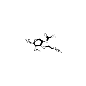 CC[C@H]1OC[C@H](OC(C)=O)[C@H](OCCOC)[C@@H]1C